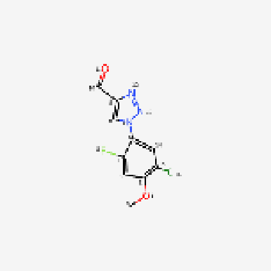 COc1cc(F)c(-n2cc(C=O)nn2)cc1Cl